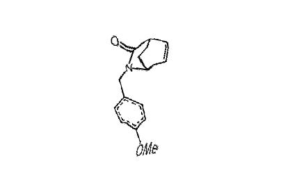 COc1ccc(CN2C(=O)C3C=CC2C3)cc1